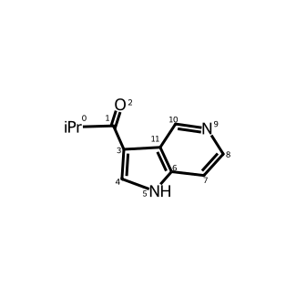 CC(C)C(=O)c1c[nH]c2ccncc12